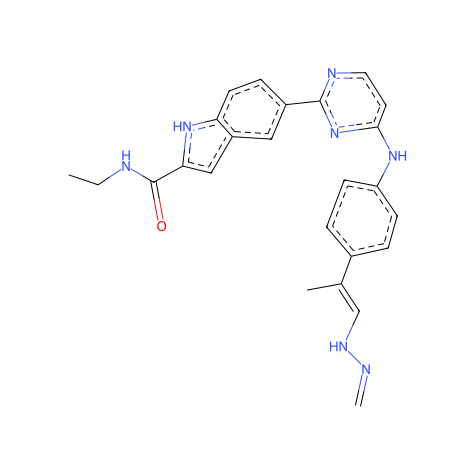 C=NN/C=C(\C)c1ccc(Nc2ccnc(-c3ccc4[nH]c(C(=O)NCC)cc4c3)n2)cc1